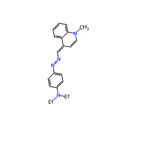 CCN(CC)c1ccc(N=N/C=C2\C=CN(C)c3ccccc32)cc1